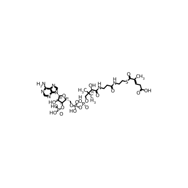 CC(=CCC(=O)O)C(=O)SCCNC(=O)CCNC(=O)[C@H](O)C(C)(C)COP(=O)(O)OP(=O)(O)OC[C@H]1O[C@@H](n2cnc3c(N)ncnc32)[C@H](O)[C@@H]1OP(=O)(O)O